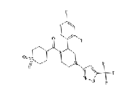 O=C(C1CCS(=O)(=O)CC1)N1CCN(c2cc(C(F)(F)F)on2)CC1c1ccc(F)cc1F